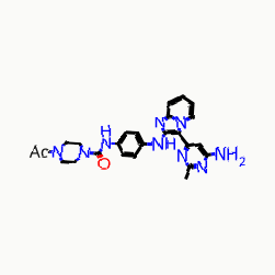 CC(=O)N1CCN(C(=O)Nc2ccc(Nc3nc4ccccn4c3-c3cc(N)nc(C)n3)cc2)CC1